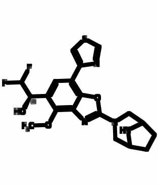 O[C@H](c1cc(-c2cscn2)c2oc(N3CC4CCC(C3)N4)nc2c1OC(F)(F)F)C(F)F